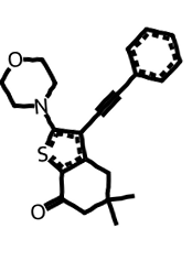 CC1(C)CC(=O)c2sc(N3CCOCC3)c(C#Cc3ccccc3)c2C1